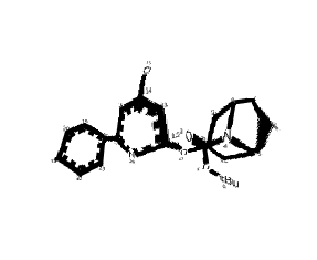 CC(C)(C)OC(=O)N1C2CCC1CC(Oc1cc(Cl)cc(-c3ccccc3)n1)C2